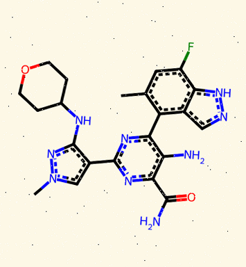 Cc1cc(F)c2[nH]ncc2c1-c1nc(-c2cn(C)nc2NC2CCOCC2)nc(C(N)=O)c1N